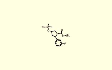 CC(C)(C)OC(=O)N1CC(O[Si](C)(C)C(C)(C)C)CC1c1cccc(F)c1